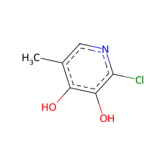 Cc1cnc(Cl)c(O)c1O